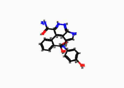 NC(=O)c1nnc2[nH]cc(Nc3ccc(O)cc3)c2c1-c1ccccc1C(=O)O